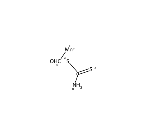 NC(=S)[S-].O=[CH][Mn+]